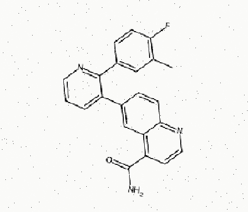 Cc1cc(-c2ncccc2-c2ccc3nccc(C(N)=O)c3c2)ccc1F